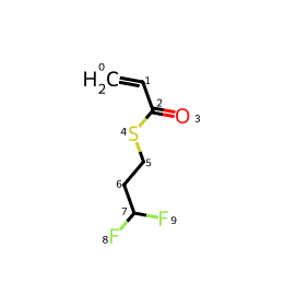 C=CC(=O)SCCC(F)F